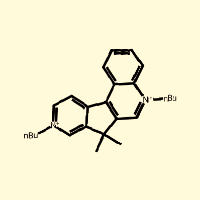 CCCC[n+]1ccc2c(c1)C(C)(C)c1c[n+](CCCC)c3ccccc3c1-2